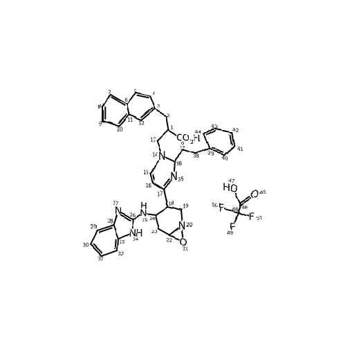 O=C(O)C(Cc1ccc2ccccc2c1)CN1C=CC(C2CN3OC3CC2Nc2nc3ccccc3[nH]2)=NC1CCc1ccccc1.O=C(O)C(F)(F)F